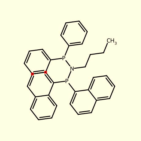 CCCCN(P(c1ccccc1)c1ccccc1)P(c1cccc2ccccc12)c1cccc2ccccc12